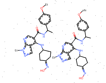 CCCOc1ccc(C(C)NC(=O)c2cnc3c(cnn3CC)c2NC2CCC(=NO)CC2)cc1.CCOc1ccc(C(C)NC(=O)c2cnc3c(cnn3CC)c2NC2CCC(=NO)CC2)cc1